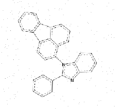 c1ccc(-c2nc3ccccc3n2-c2ccc3c4c(cccc24)-c2ccccc2-3)cc1